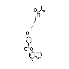 C=C(C)C(=O)OCCCCCCOc1ccc(C(=O)Oc2ccc(C)c3ccccc23)cc1